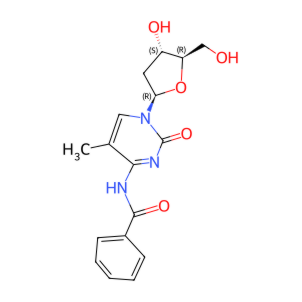 Cc1cn([C@H]2C[C@H](O)[C@@H](CO)O2)c(=O)nc1NC(=O)c1ccccc1